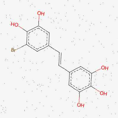 Oc1cc(C=Cc2cc(O)c(O)c(Br)c2)cc(O)c1O